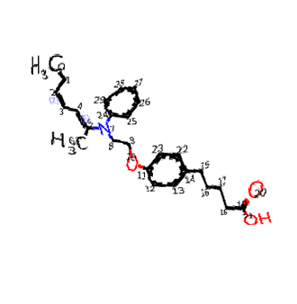 CC/C=C\C=C(/C)N(CCOc1ccc(CCCCC(=O)O)cc1)c1ccccc1